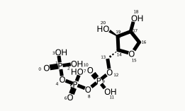 O=P(O)(O)OP(=O)(O)OP(=O)(O)OC[C@H]1OCC(O)[C@@H]1O